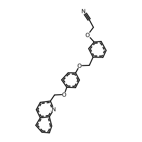 N#CCOc1cccc(COc2ccc(OCc3ccc4ccccc4n3)cc2)c1